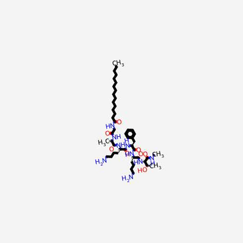 CCCCCCCCCCCCCCCC(=O)NCC(=O)N[C@@H](C)C(=O)N[C@@H](CCCCN)C(=O)N[C@@H](Cc1ccccc1)C(=O)N[C@@H](CCCCN)C(=O)N[C@H](C(=O)NC)[C@@H](C)O